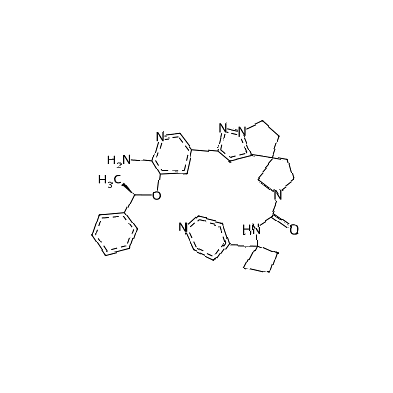 C[C@@H](Oc1cc(-c2cc3n(n2)CCC32CCN(C(=O)NC3(c4ccncc4)CCC3)C2)cnc1N)c1ccccc1